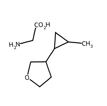 CC1CC1C1CCOC1.NCC(=O)O